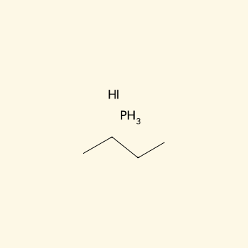 CCCC.I.P